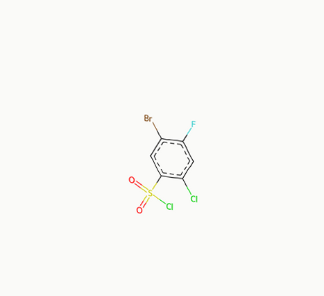 O=S(=O)(Cl)c1cc(Br)c(F)cc1Cl